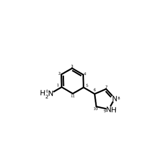 NC1=CC=CC(C2C=NNC2)C1